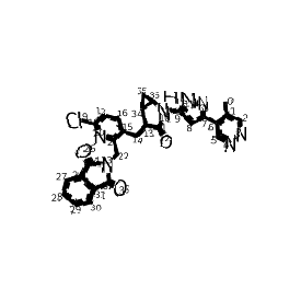 Cc1cnncc1-c1cc(N2C(=O)C(Cc3ccc(Cl)nc3CN3C(=O)c4ccccc4C3=O)C3CC32)[nH]n1